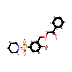 O=C(COCc1cc(S(=O)(=O)N2CCCCC2)ccc1Br)c1ccccc1